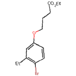 CCOC(=O)CCCOc1ccc(Br)c(CC)c1